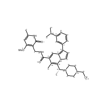 COc1cc(C)[nH]c(=O)c1CNC(=O)c1cc2c(-c3ccnc(N(C)C)c3)ccn2c([C@@H](C)N2CCN(CC(F)(F)F)CC2)c1C